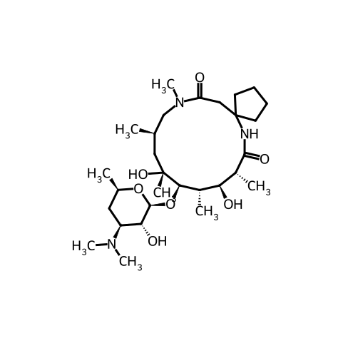 C[C@H]1CN(C)C(=O)CC2(CCCC2)NC(=O)[C@H](C)[C@@H](O)[C@H](C)[C@@H](O[C@@H]2O[C@H](C)C[C@H](N(C)C)[C@H]2O)[C@](C)(O)C1